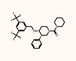 O=C(N1CCCCC1)N1CC[C@H](OCc2cc(C(F)(F)F)cc(C(F)(F)F)c2)[C@H](c2ccccc2)C1